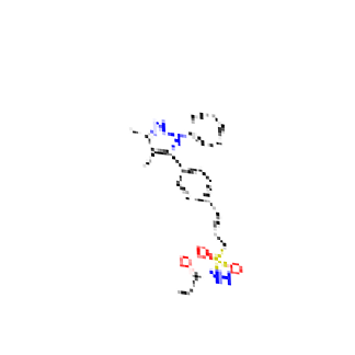 CCC(=O)NS(=O)(=O)CC=Cc1ccc(-c2c(C)c(C)nn2-c2ccccc2)cc1